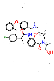 Cc1ccccc1Oc1ccc(CN(C)C[C@H]2Oc3c(NC(=O)C(C)c4ccc(F)cc4)cccc3C(=O)N(C(C)CO)C[C@H]2C)cc1